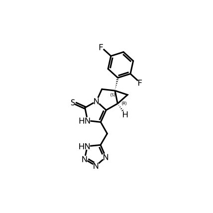 Fc1ccc(F)c([C@]23C[C@H]2c2c(Cc4nnn[nH]4)[nH]c(=S)n2C3)c1